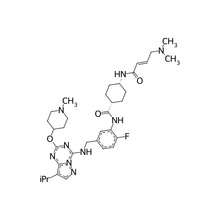 CC(C)c1cnn2c(NCc3ccc(F)c(NC(=O)[C@H]4CC[C@@H](NC(=O)/C=C/CN(C)C)CC4)c3)nc(OC3CCN(C)CC3)nc12